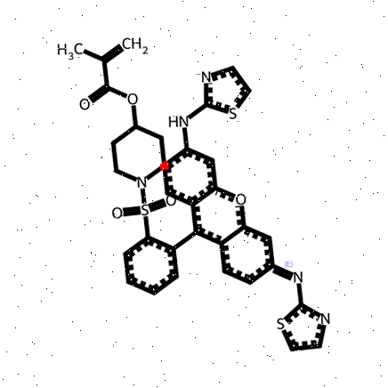 C=C(C)C(=O)OC1CCN(S(=O)(=O)c2ccccc2-c2c3cc/c(=N\c4nccs4)cc-3oc3cc(Nc4nccs4)ccc23)CC1